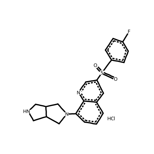 Cl.O=S(=O)(c1ccc(F)cc1)c1cnc2c(N3CC4CNCC4C3)cccc2c1